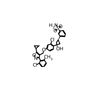 Cc1cccc(Cl)c1-c1noc(C2CC2)c1COc1ccc([C@]2(O)C[C@@H](c3cccc(S(N)(=O)=O)c3)C2)c(Cl)c1